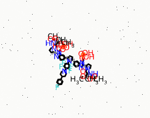 COC(=O)N[C@H](C(=O)N1CCC[C@H]1c1nc2cc(F)c([C@H]3CC[C@H](c4cc5c(cc4F)nc([C@@H]4CCCN4C(=O)[C@@H](NC(=O)OC)[C@@H](C)OC)n5COP(=O)(O)O)N3c3cc(F)c(N4CCC(c5ccc(F)cc5)CC4)c(F)c3)cc2n1COP(=O)(O)O)[C@@H](C)OC